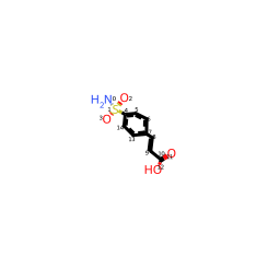 NS(=O)(=O)c1ccc(/C=C/C(=O)O)cc1